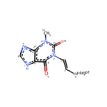 CCCCCCCC=Cn1c(=O)c2[nH]cnc2n(C)c1=O